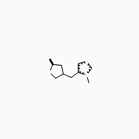 Cn1cncc1CC1CSC(=O)C1